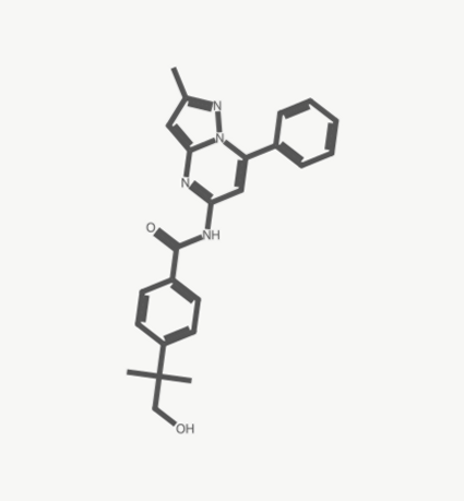 Cc1cc2nc(NC(=O)c3ccc(C(C)(C)CO)cc3)cc(-c3ccccc3)n2n1